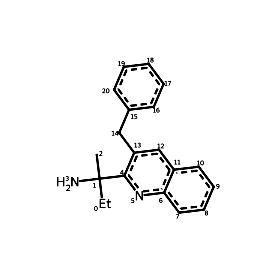 CCC(C)(N)c1nc2ccccc2cc1Cc1ccccc1